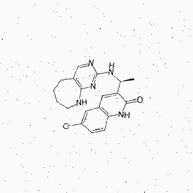 C[C@H](Nc1ncc2c(n1)NCCCC2)c1cc2cc(Cl)ccc2[nH]c1=O